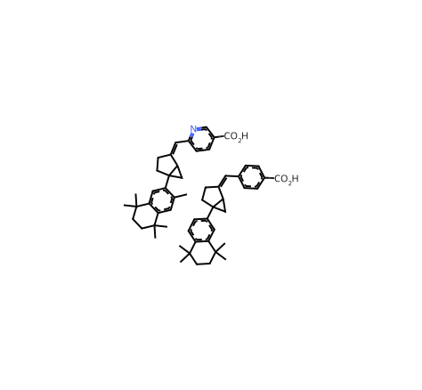 CC1(C)CCC(C)(C)c2cc(C34CCC(=Cc5ccc(C(=O)O)cc5)C3C4)ccc21.Cc1cc2c(cc1C13CCC(=Cc4ccc(C(=O)O)cn4)C1C3)C(C)(C)CCC2(C)C